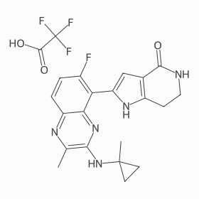 Cc1nc2ccc(F)c(-c3cc4c([nH]3)CCNC4=O)c2nc1NC1(C)CC1.O=C(O)C(F)(F)F